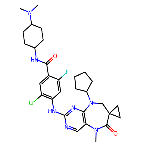 CN1C(=O)C2(CC2)CN(C2CCCC2)c2nc(Nc3cc(F)c(C(=O)NC4CCC(N(C)C)CC4)cc3Cl)ncc21